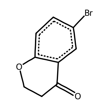 O=C1CCOc2ccc(Br)cc21